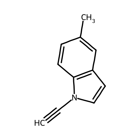 C#Cn1ccc2cc(C)ccc21